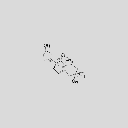 CC[C@H]1[C@H]([C@@H]2CCC(O)C2)CC=C2C[C@](O)(C(F)(F)F)CC[C@@]21C